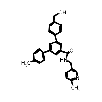 Cc1ccc(-c2cc(C(=O)NCc3ccc(C)nc3)cc(-c3ccc(CO)cc3)c2)cc1